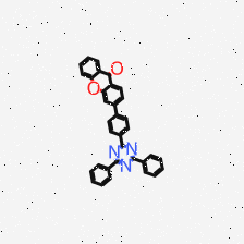 O=c1c2ccccc2oc2cc(-c3ccc(-c4nc(-c5ccccc5)nc(-c5ccccc5)n4)cc3)ccc12